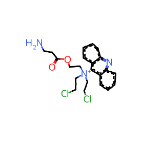 NCCC(=O)OCC[N+](CCCl)(CCCl)c1c2ccccc2nc2ccccc12